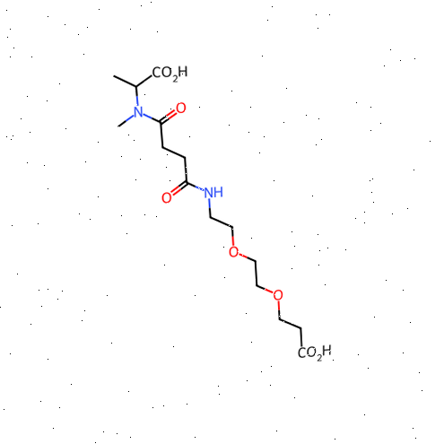 CC(C(=O)O)N(C)C(=O)CCC(=O)NCCOCCOCCC(=O)O